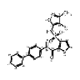 Cc1noc(NS(=O)(=O)c2ccsc2C(=O)Nc2ccc(-c3ccccc3)cc2)c1Br